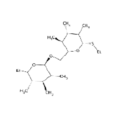 CCS[C@@H]1OC(CO[C@@H]2OC(CC)[C@@H](C)[C@H](C)C2C)[C@@H](C)[C@H](C)C1C